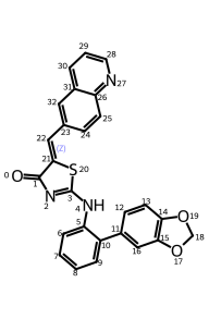 O=C1N=C(Nc2ccccc2-c2ccc3c(c2)OCO3)S/C1=C\c1ccc2ncccc2c1